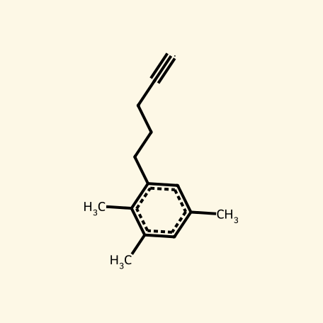 [C]#CCCCc1cc(C)cc(C)c1C